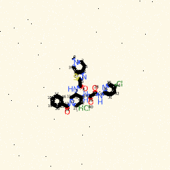 CN1CCc2nc(C(=O)N[C@@H]3CN(C(=O)c4ccccc4)CC[C@@H]3NC(=O)C(=O)Nc3ccc(Cl)cn3)sc2C1.Cl